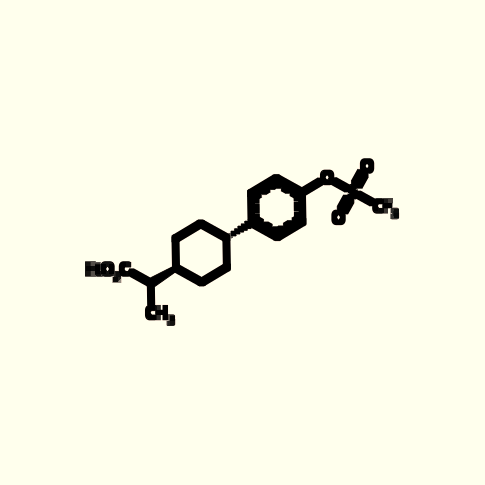 CCOC(=O)C(C)[C@H]1CC[C@H](c2ccc(OS(=O)(=O)C(F)(F)F)cc2)CC1